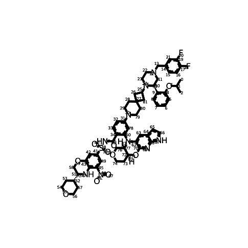 CC(C)Oc1ccccc1[C@@H]1CN(Cc2ccc(F)c(F)c2)CCN1C1CC2(CCN(c3ccc(C(=O)NS(=O)(=O)c4cc5c(c([N+](=O)[O-])c4)N[C@H](C4CCOCC4)CO5)c(N4c5cc6cc[nH]c6nc5O[C@H]5CCOC[C@@H]54)c3)CC2)C1